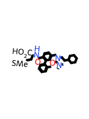 CSCCC(NC(=O)c1ccc(CN(CCC2CCCCC2)C(=O)N(C)C)cc1-c1ccccc1C)C(=O)O